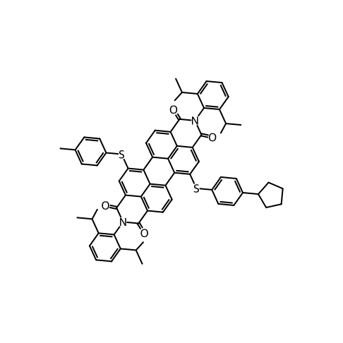 Cc1ccc(Sc2cc3c4c(ccc5c6c(Sc7ccc(C8CCCC8)cc7)cc7c8c(ccc(c2c45)c86)C(=O)N(c2c(C(C)C)cccc2C(C)C)C7=O)C(=O)N(c2c(C(C)C)cccc2C(C)C)C3=O)cc1